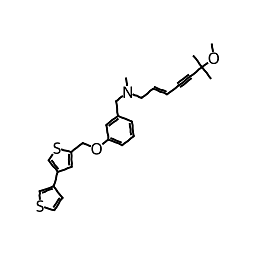 COC(C)(C)C#CC=CCN(C)Cc1cccc(OCc2cc(-c3ccsc3)cs2)c1